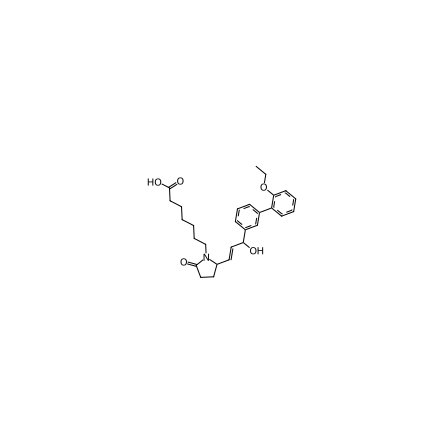 CCOc1ccccc1-c1cccc(C(O)C=CC2CCC(=O)N2CCCCCCC(=O)O)c1